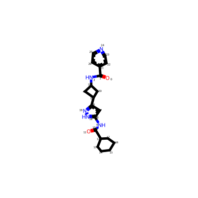 O=C(NC1CC(c2cc(NC(=O)C3CCCCC3)[nH]n2)C1)c1ccncc1